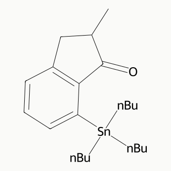 CCC[CH2][Sn]([CH2]CCC)([CH2]CCC)[c]1cccc2c1C(=O)C(C)C2